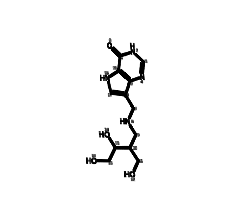 O=c1[nH]cnc2c(CNCC(CO)C(O)CO)c[nH]c12